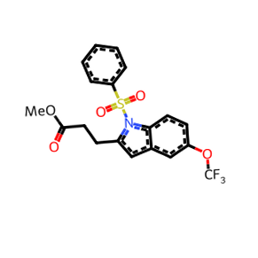 COC(=O)CCc1cc2cc(OC(F)(F)F)ccc2n1S(=O)(=O)c1ccccc1